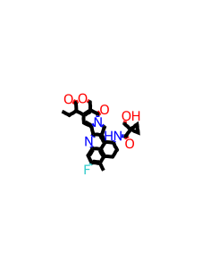 CCC1C(=O)OCc2c1cc1n(c2=O)Cc2c-1nc1cc(F)c(C)c3c1c2C(NC(=O)C1(CO)CC1)CC3